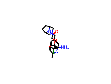 Cc1ccc(OCC(=O)N2C3CCC2CN(Cc2ccc(F)cc2)C3)c(N)n1